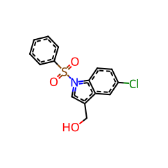 O=S(=O)(c1ccccc1)n1cc(CO)c2cc(Cl)ccc21